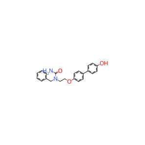 NC(=O)N(CCOc1ccc(-c2ccc(O)cc2)cc1)Cc1ccccc1